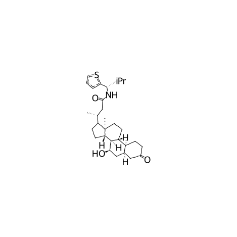 CC(C)[C@H](NC(=O)C[C@@H](C)C1CC[C@H]2[C@@H]3[C@H](O)C[C@@H]4CC(=O)CC[C@]4(C)[C@H]3CC[C@]12C)c1cccs1